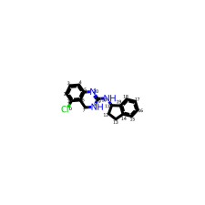 Clc1cccc2c1CNC(NC1CCc3ccccc31)=N2